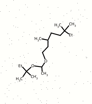 CCC(C)(C)CCC(C)CCOC(C)OC(C)(C)CC